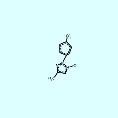 Cc1c[n+]([O-])n(-c2ccc(C(F)(F)F)cc2)n1